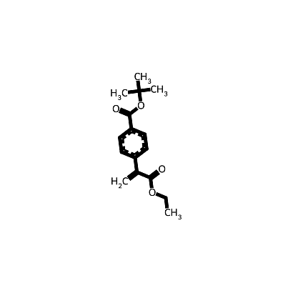 C=C(C(=O)OCC)c1ccc(C(=O)OC(C)(C)C)cc1